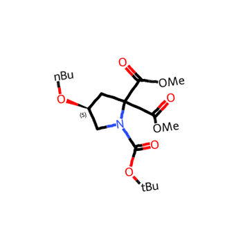 CCCCO[C@@H]1CN(C(=O)OC(C)(C)C)C(C(=O)OC)(C(=O)OC)C1